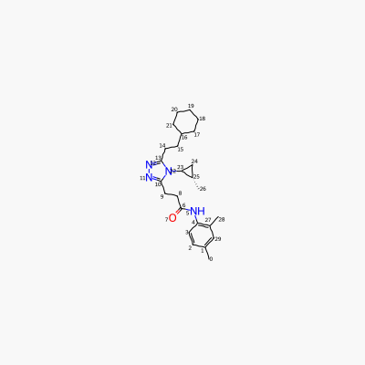 Cc1ccc(NC(=O)CCc2nnc(CCC3CCCCC3)n2C2C[C@@H]2C)c(C)c1